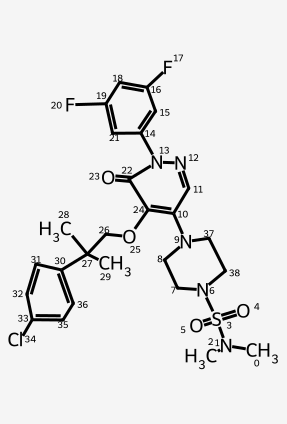 CN(C)S(=O)(=O)N1CCN(c2cnn(-c3cc(F)cc(F)c3)c(=O)c2OCC(C)(C)c2ccc(Cl)cc2)CC1